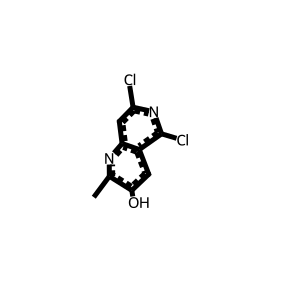 Cc1nc2cc(Cl)nc(Cl)c2cc1O